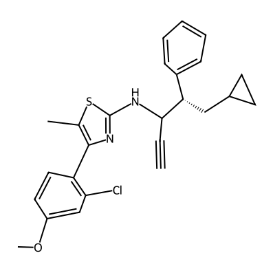 C#CC(Nc1nc(-c2ccc(OC)cc2Cl)c(C)s1)[C@@H](CC1CC1)c1ccccc1